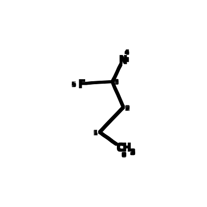 CCCC([N])F